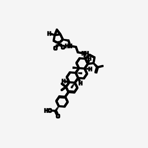 C=C(C)[C@@H]1CC[C@]2(NCCNC[C@@H]3C4C[C@H]4CS3(=O)=O)CC[C@]3(C)[C@H](CC[C@@H]4[C@@]5(C)CC=C(C6=CC[C@@H](C(=O)O)CC6)C(C)(C)[C@@H]5CC[C@]43C)[C@@H]12